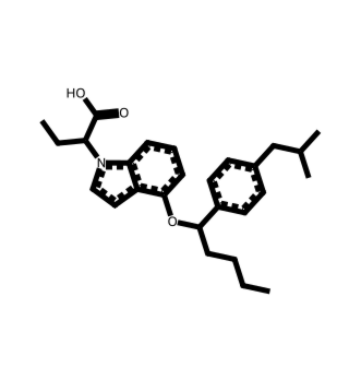 CCCCC(Oc1cccc2c1ccn2C(CC)C(=O)O)c1ccc(CC(C)C)cc1